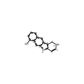 Clc1cccc2cc3c4c(oc3cc12)C=CNC4